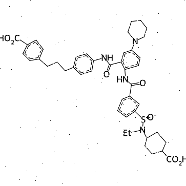 CCN(C1CCC(C(=O)O)CC1)[S+]([O-])c1cccc(C(=O)Nc2ccc(N3CCCCC3)cc2C(=O)Nc2ccc(CCCc3ccc(C(=O)O)cc3)cc2)c1